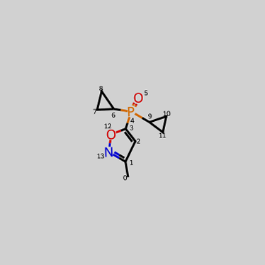 Cc1cc(P(=O)(C2CC2)C2CC2)on1